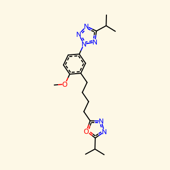 COc1ccc(-n2nnc(C(C)C)n2)cc1CCCCc1nnc(C(C)C)o1